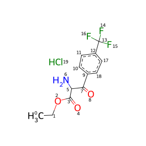 CCOC(=O)C(N)C(=O)c1ccc(C(F)(F)F)cc1.Cl